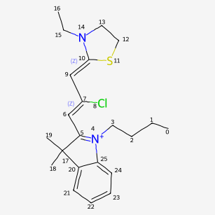 CCCC[N+]1=C(/C=C(Cl)/C=C2\SCCN2CC)C(C)(C)c2ccccc21